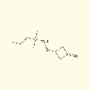 CCCC(C)(C)NOC1CC(=O)C1